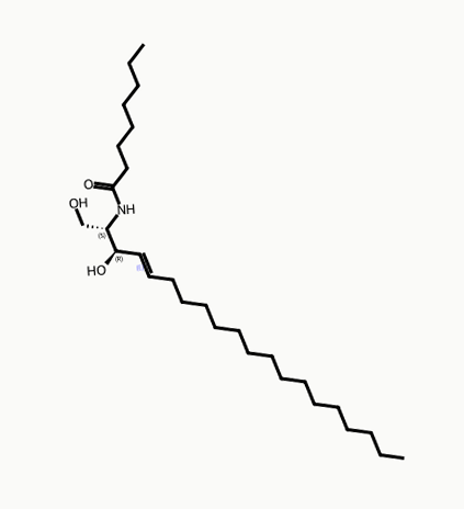 CCCCCCCCCCCCCCC/C=C/[C@@H](O)[C@H](CO)NC(=O)CCCCCCC